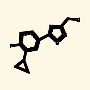 Fc1ccc(-c2nc(CCl)no2)cc1C1CC1